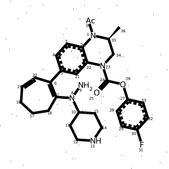 CC(=O)N1c2ccc(C3=C(N(N)C4CCNCC4)CCCC=C3)cc2N(C(=O)Oc2ccc(F)cc2)C[C@@H]1C